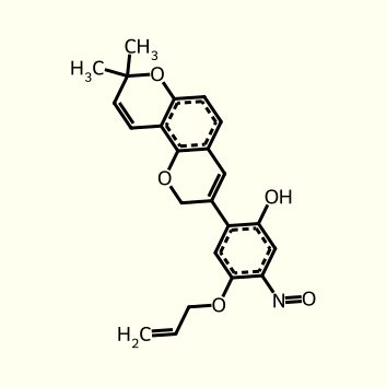 C=CCOc1cc(C2=Cc3ccc4c(c3OC2)C=CC(C)(C)O4)c(O)cc1N=O